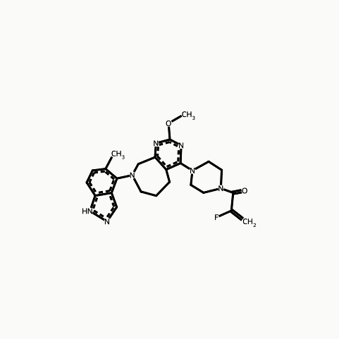 C=C(F)C(=O)N1CCN(c2nc(OC)nc3c2CCCN(c2c(C)ccc4[nH]ncc24)C3)CC1